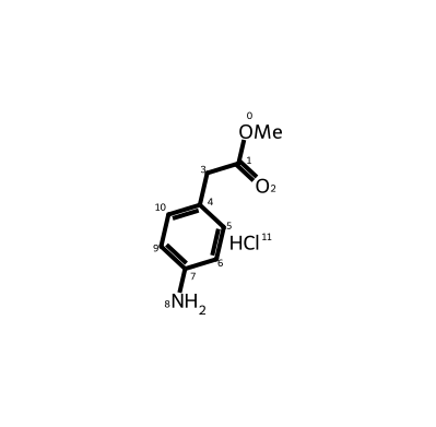 COC(=O)Cc1ccc(N)cc1.Cl